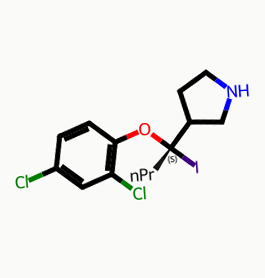 CCC[C@@](I)(Oc1ccc(Cl)cc1Cl)C1CCNC1